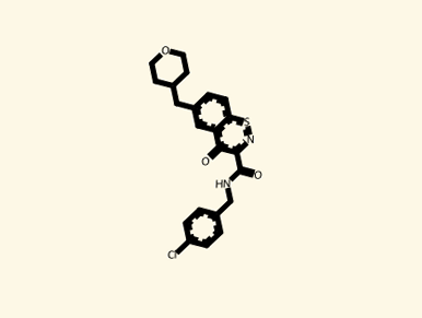 O=C(NCc1ccc(Cl)cc1)c1nsc2ccc(CC3CCOCC3)cc2c1=O